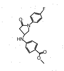 COC(=O)c1ccc(NC2CC(=O)N(c3ccc(F)cc3)C2)cc1